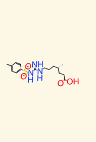 Cc1ccc(S(=O)(=O)NC(=N)NCCC[C@H](C)CCC(=O)O)cc1